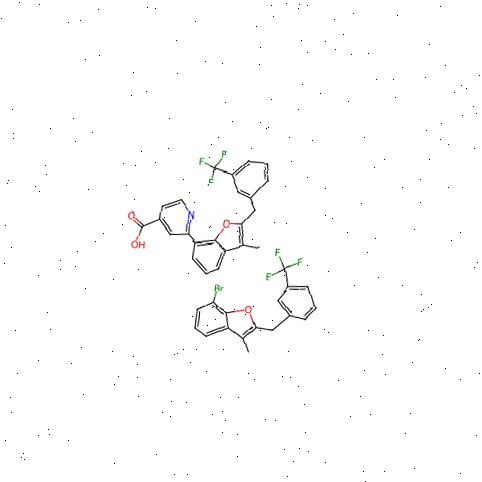 Cc1c(Cc2cccc(C(F)(F)F)c2)oc2c(-c3cc(C(=O)O)ccn3)cccc12.Cc1c(Cc2cccc(C(F)(F)F)c2)oc2c(Br)cccc12